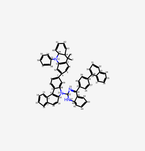 CC1(C)c2ccc(-c3ccc4c5c6ccccc6ccc5n(C5N=C(c6ccc(-c7cccc8ccccc78)cc6)c6ccccc6N5)c4c3)cc2N(c2ccccc2)C2C=CC=CC21